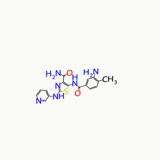 Cc1ccc(C(=O)Nc2sc(Nc3cccnc3)nc2C(N)=O)cc1N